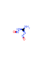 NC(=NN=O)NN=O